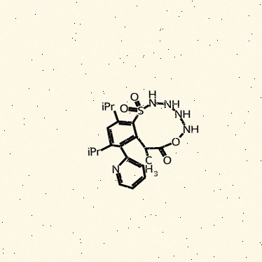 CC(C)c1cc(C(C)C)c2c(c1-c1ccccn1)C(C)C(=O)ONNNNS2(=O)=O